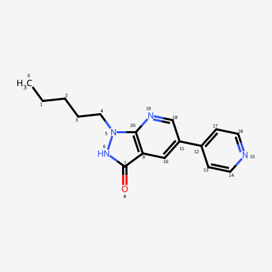 CCCCCn1[nH]c(=O)c2cc(-c3ccncc3)cnc21